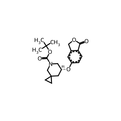 CC(C)(C)OC(=O)N1C[C@H](Oc2ccc3c(c2)COC3=O)CC2(CC2)C1